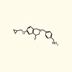 NCc1ccc(CN2Cc3ccc(OCC4CC4)cc3C(F)C2)cc1